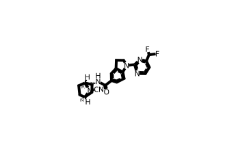 N#CN1[C@H]2CC[C@@H]1[C@H](NC(=O)c1ccc3c(c1)CCN3c1nccc(C(F)F)n1)C2